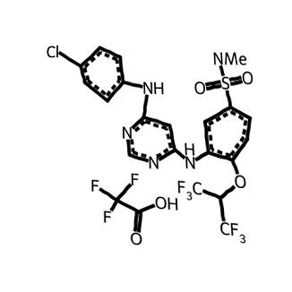 CNS(=O)(=O)c1ccc(OC(C(F)(F)F)C(F)(F)F)c(Nc2cc(Nc3ccc(Cl)cc3)ncn2)c1.O=C(O)C(F)(F)F